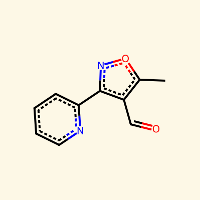 Cc1onc(-c2ccccn2)c1C=O